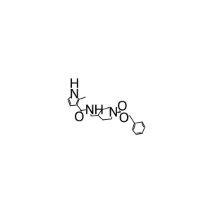 Cc1[nH]ccc1C(=O)NCC1CCN(C(=O)OCc2ccccc2)CC1